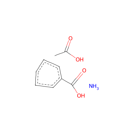 CC(=O)O.N.O=C(O)c1ccccc1